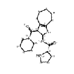 O=C(NC1SC2=C(CCCCC2)C1C(=O)N1CCCCC1)[C@@H]1CCCN1